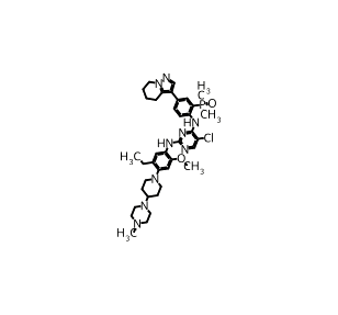 CCc1cc(Nc2ncc(Cl)c(Nc3ccc(-c4cnn5c4CCCC5)cc3P(C)(C)=O)n2)c(OC)cc1N1CCC(N2CCN(C)CC2)CC1